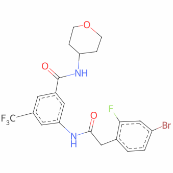 O=C(Cc1ccc(Br)cc1F)Nc1cc(C(=O)NC2CCOCC2)cc(C(F)(F)F)c1